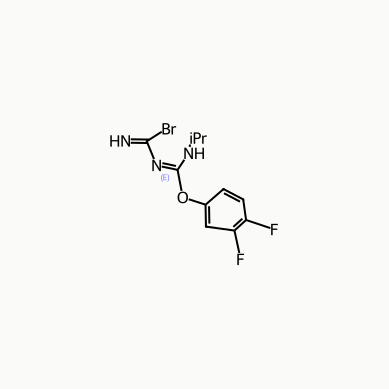 CC(C)N/C(=N\C(=N)Br)Oc1ccc(F)c(F)c1